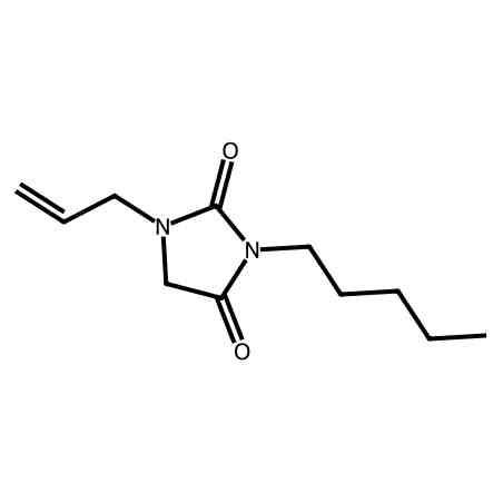 C=CCN1CC(=O)N(CCCCC)C1=O